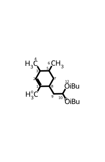 CC1=CC(C)C(C)CC1CC(OCC(C)C)OCC(C)C